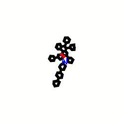 c1ccc(-c2ccc(-c3ccc(N(c4cccc(-c5ccccc5)c4)c4ccccc4-c4ccc5c(c4)c(-c4ccccc4)c(-c4ccccc4)c4ccccc45)cc3)cc2)cc1